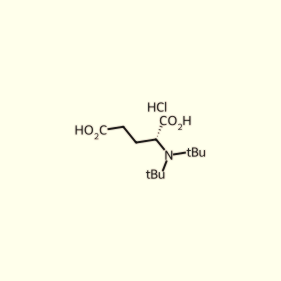 CC(C)(C)N([C@H](CCC(=O)O)C(=O)O)C(C)(C)C.Cl